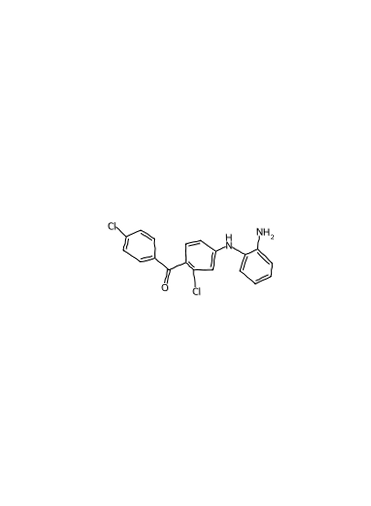 Nc1ccccc1Nc1ccc(C(=O)c2ccc(Cl)cc2)c(Cl)c1